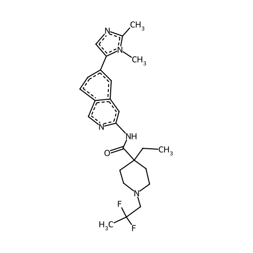 CCC1(C(=O)Nc2cc3cc(-c4cnc(C)n4C)ccc3cn2)CCN(CC(C)(F)F)CC1